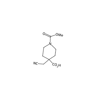 COC(=O)N1CCC(CC#N)(C(=O)O)CC1